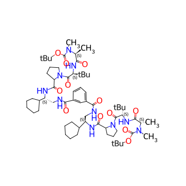 C[C@@H](C(=O)N[C@H](C(=O)N1CCCC1C(=O)N[C@H](CNC(=O)c1cccc(C(=O)NC[C@@H](NC(=O)C2CCCN2C(=O)[C@@H](NC(=O)[C@H](C)N(C)C(=O)OC(C)(C)C)C(C)(C)C)C2CCCCC2)c1)C1CCCCC1)C(C)(C)C)N(C)C(=O)OC(C)(C)C